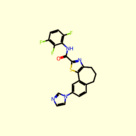 O=C(Nc1c(F)ccc(F)c1F)c1nc2c(s1)-c1cc(-n3ccnc3)ccc1CCC2